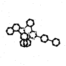 c1ccc(-c2ccc(-c3nc(-c4ccccc4)nc(-c4ccccc4-n4c5cc6ccccc6cc5c5c6ccccc6ccc54)n3)cc2)cc1